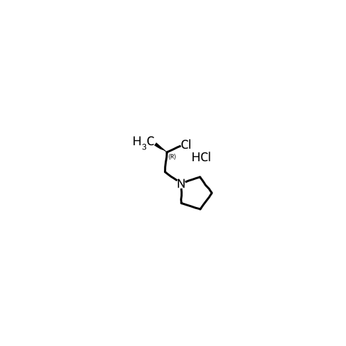 C[C@@H](Cl)CN1CCCC1.Cl